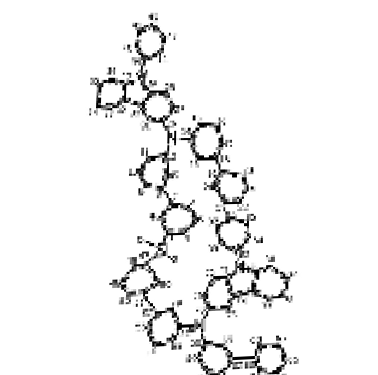 C[Si](C)(c1cccc(-c2cccc(N(c3cccc(-c4ccccc4)c3)c3ccc4c(c3)c3ccccc3n4-c3ccccc3)c2)c1)c1cccc(-c2cccc(N(c3cccc(-c4ccccc4)c3)c3ccc4c(c3)c3ccccc3n4-c3ccccc3)c2)c1